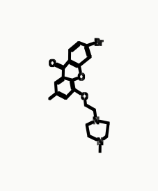 Cc1cc(OCCN2CCN(C)CC2)c2oc3cc(Br)ccc3c(=O)c2c1